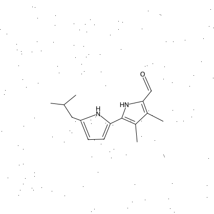 Cc1c(C=O)[nH]c(-c2ccc(CC(C)C)[nH]2)c1C